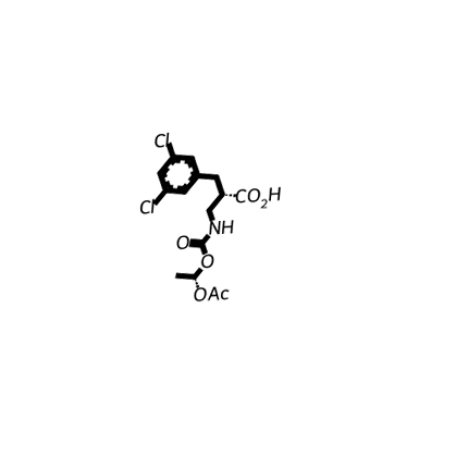 CC(=O)O[C@H](C)OC(=O)NC[C@H](Cc1cc(Cl)cc(Cl)c1)C(=O)O